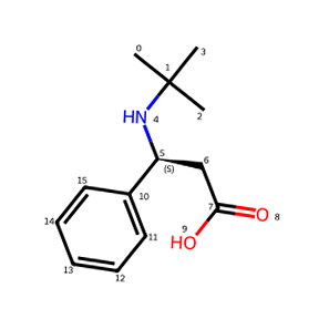 CC(C)(C)N[C@@H](CC(=O)O)c1ccccc1